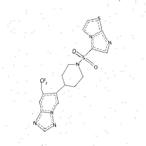 O=S(=O)(c1cnc2sccn12)N1CCC(c2cn3ncnc3cc2C(F)(F)F)CC1